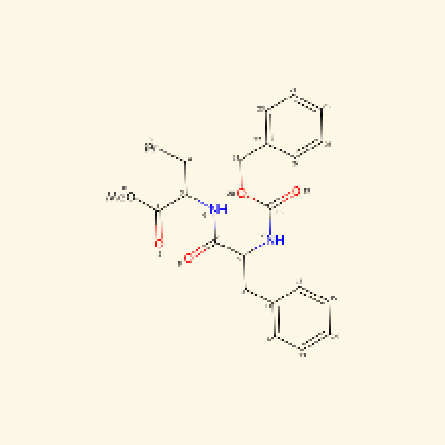 COC(=O)C(CC(C)C)NC(=O)C(Cc1ccccc1)NC(=O)OCc1ccccc1